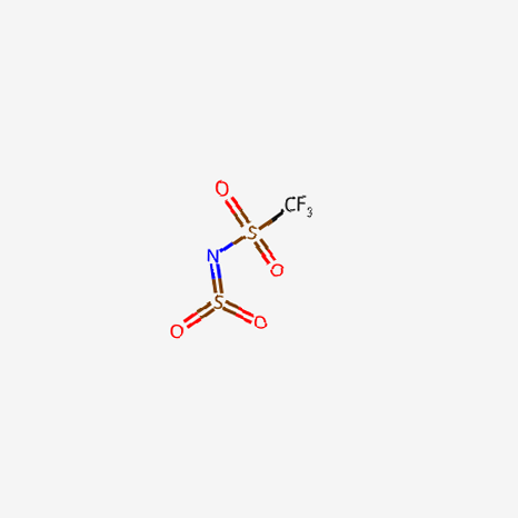 O=S(=O)=NS(=O)(=O)C(F)(F)F